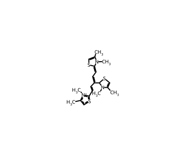 CC1=CS\C(=C/C=C(/C=C/c2scc(C)[n+]2C)C2SC=C(C)N2C)N1C